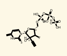 C#C[C@@]1(O)C(F)[C@@H](COP(=O)(O)OP(=O)(O)OP(=O)(O)O)O[C@H]1N1C=CC(=C)NC1=S